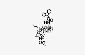 CCCCCCN(C(=O)C(NC(=O)[C@H]1CCCCN1CCNC(=O)OCC1c2ccccc2-c2ccccc21)C(C)CC)C(CC(OCC)c1nc(C(=O)OCC)cs1)C(C)C